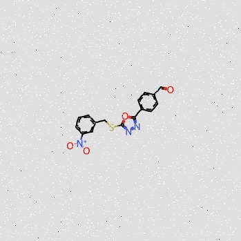 O=Cc1ccc(-c2nnc(SCc3cccc([N+](=O)[O-])c3)o2)cc1